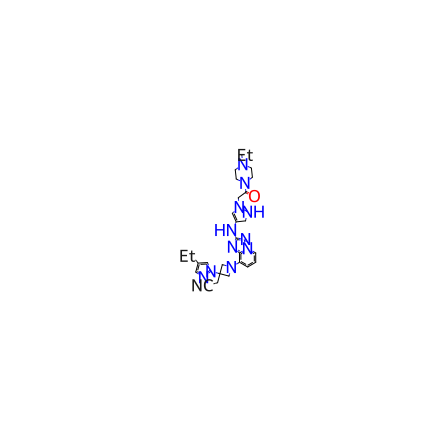 CCc1cnn(C2(CC#N)CN(c3cccn4nc(NC5=CN(CC(=O)N6CCN(CC)CC6)NC5)nc34)C2)c1